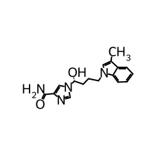 Cc1cn(CCC[C@@H](O)n2cnc(C(N)=O)c2)c2ccccc12